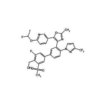 Cc1nc(-c2cc(-c3cc(F)c(CO)c(S(C)(=O)=O)c3)ccc2-n2ccc(C(F)(F)F)n2)c(-c2ccc(OC(F)F)nc2)o1